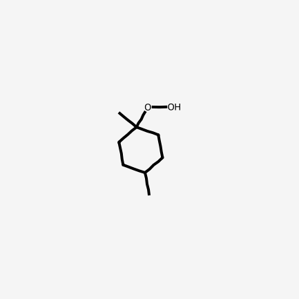 CC1CCC(C)(OO)CC1